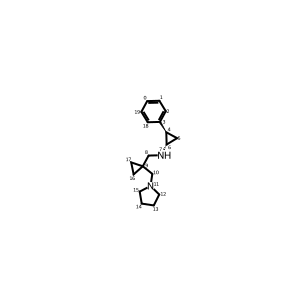 c1ccc([C@H]2C[C@@H]2NCC2(CN3CCCC3)CC2)cc1